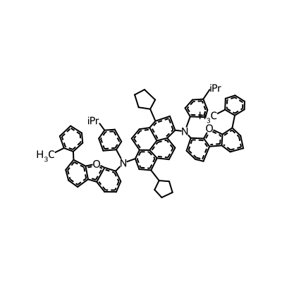 Cc1ccccc1-c1cccc2c1oc1c(N(c3ccc(C(C)C)cc3)c3cc(C4CCCC4)c4ccc5c(N(c6ccc(C(C)C)cc6)c6cccc7c6oc6c(-c8ccccc8C)cccc67)cc(C6CCCC6)c6ccc3c4c65)cccc12